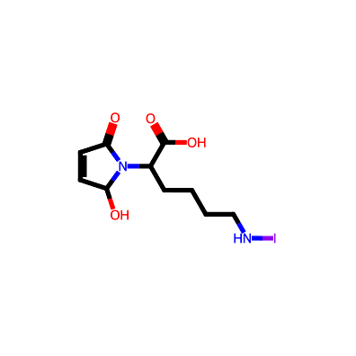 O=C(O)C(CCCCNI)N1C(=O)C=CC1O